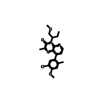 CCC(COC)n1c(=O)c(C)nc2c(-c3cc(Cl)c(OC)cc3C)ccnc21